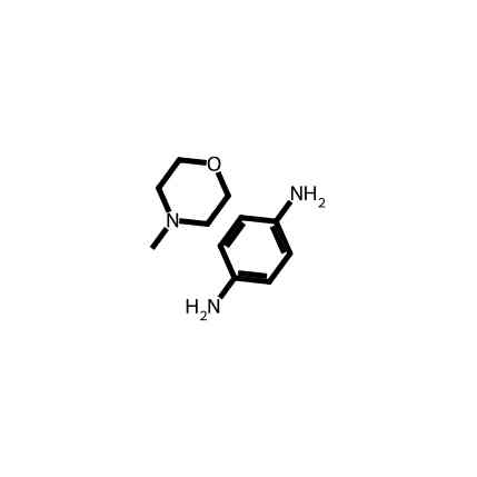 CN1CCOCC1.Nc1ccc(N)cc1